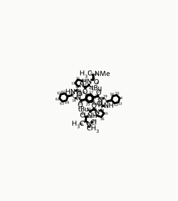 CN[C@@H](C)C(=O)N[C@H](C(=O)N1CCC[C@H]1C(=O)N[C@H](CNC(=O)c1ccc(C(=O)NC[C@@H](NC(=O)[C@@H]2CCCN2C(=O)[C@@H](NC(=O)[C@H](C)N(C)Cl)C(C)(C)C)C2CCCCC2)cc1)C1CCCCC1)C(C)(C)C